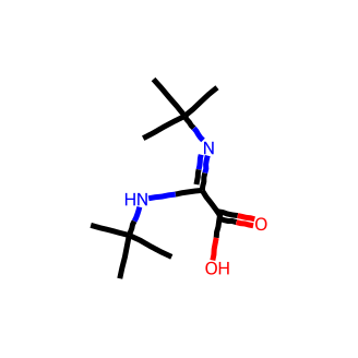 CC(C)(C)N=C(NC(C)(C)C)C(=O)O